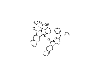 CCC(C(=O)O)(c1ccccc1)N1C(=O)c2cc3ccccc3cc2C1=O.CCC(C(=O)ON1C(=O)c2cc3ccccc3cc2C1=O)c1ccccc1